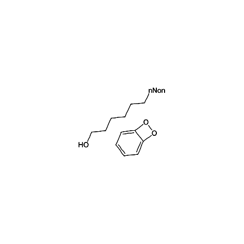 CCCCCCCCCCCCCCCO.c1ccc2ooc2c1